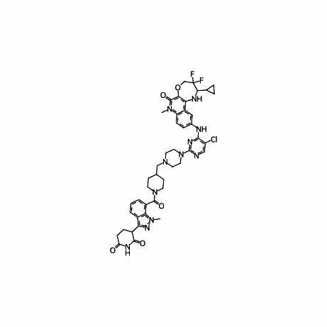 Cn1nc(C2CCC(=O)NC2=O)c2cccc(C(=O)N3CCC(CN4CCN(c5ncc(Cl)c(Nc6ccc7c(c6)c6c(c(=O)n7C)OCC(F)(F)C(C7CC7)N6)n5)CC4)CC3)c21